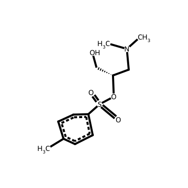 Cc1ccc(S(=O)(=O)O[C@H](CO)CN(C)C)cc1